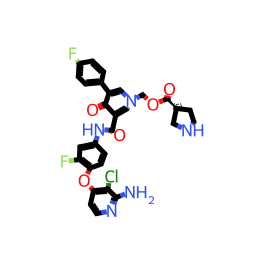 Nc1nccc(Oc2ccc(NC(=O)c3cn(COC(=O)[C@H]4CCNC4)cc(-c4ccc(F)cc4)c3=O)cc2F)c1Cl